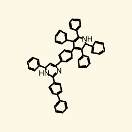 C1=C(c2ccc(C3=C(c4ccccc4)C(c4ccccc4)NC(c4ccccc4)=C3c3ccccc3)cc2)N=C(c2ccc(-c3ccccc3)cc2)NC1c1ccccc1